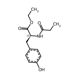 CCOC(=O)[C@H](Cc1ccc(O)cc1)NC(=O)CC